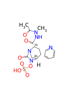 CC(=O)N(C)NC(=O)[C@@H]1CC[C@@H]2CN1C(=O)N2OS(=O)(=O)O.c1ccncc1